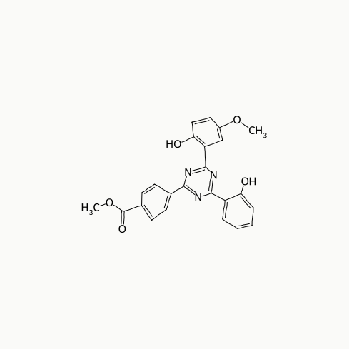 COC(=O)c1ccc(-c2nc(-c3ccccc3O)nc(-c3cc(OC)ccc3O)n2)cc1